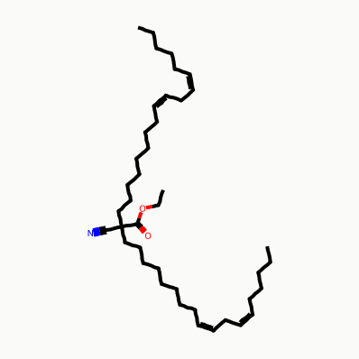 CCCCC/C=C\C/C=C\CCCCCCCCC(C#N)(CCCCCCCC/C=C\C/C=C\CCCCC)C(=O)OCC